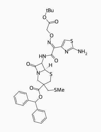 CSCC1(C(=O)OC(c2ccccc2)c2ccccc2)CS[C@@H]2C(NC(=O)C(=NOCC(=O)OC(C)(C)C)c3csc(N)n3)C(=O)N2C1